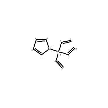 C=CS(C=C)(C=C)n1cccc1